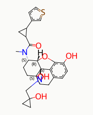 CN(C(=O)C1CC1c1ccsc1)[C@H]1CC[C@@]2(O)C3Cc4ccc(O)c5c4[C@@]2(CCN3CC2(O)CC2)[C@H]1O5